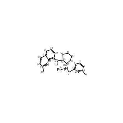 CCN(Cc1cccc(C)n1)[C@H]1CCCC[C@@H]1N(C)c1cccc2ccc(C)nc12